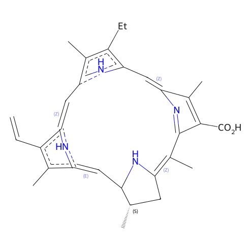 C=Cc1c(C)/c2[nH]/c1=C\c1[nH]c(c(CC)c1C)/C=C1N=C(C(C(=O)O)=C\1C)/C(C)=C1/C[C@H](C)C(/C=2)N1